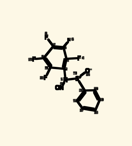 O=NN(c1c(F)c(F)c(F)c(F)c1F)[S+]([O-])c1ccccc1